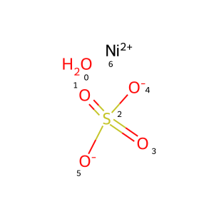 O.O=S(=O)([O-])[O-].[Ni+2]